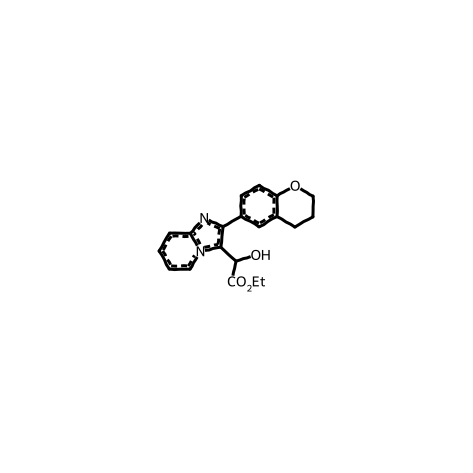 CCOC(=O)C(O)c1c(-c2ccc3c(c2)CCCO3)nc2ccccn12